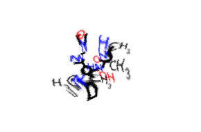 Cc1cc(C)c(CNC(O)c2cc(-c3cnn(CCN4CCOCC4)c3)cc(N(C)C3CCCCC3)c2C)c(=O)[nH]1